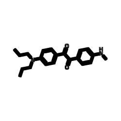 CCCN(CCC)c1ccc(C(=O)C(=O)c2ccc(NC)cc2)cc1